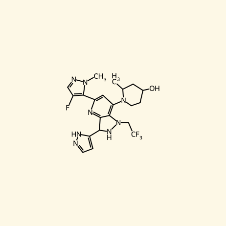 CC1CC(O)CCN1c1cc(-c2c(F)cnn2C)nc2c1N(CC(F)(F)F)NC2c1ccn[nH]1